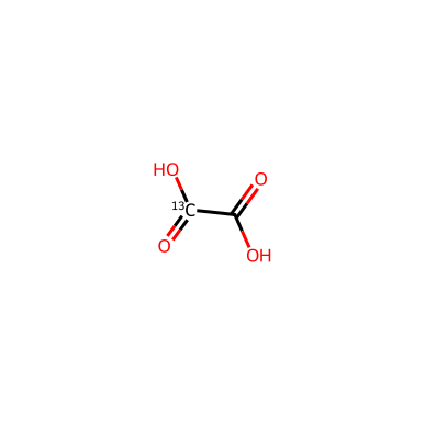 O=C(O)[13C](=O)O